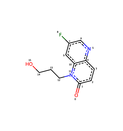 O=c1ccc2ncc(F)cc2n1CCCO